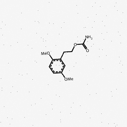 COc1ccc(OC)c(CCOC(N)=O)c1